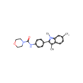 CCn1c(-c2ccc(NC(=O)N3CCOCC3)cc2)c(C#N)c2ccc(C(F)(F)F)cc21